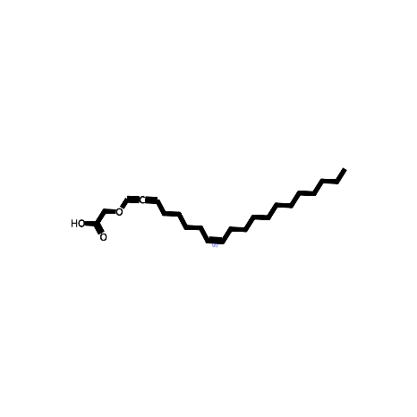 CCCCCCCCCCC/C=C\CCCCC=C=COCC(=O)O